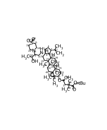 C=C(C)[C@@H]1CC[C@]2(NCC(C(C)O)N3CCS(=O)(=O)CC3)CC[C@]3(C)[C@H](CC[C@@H]4[C@@]5(C)CC[C@H](OC(=O)CC(C)(C)C(=O)OC(C)(C)C)C(C)(C)[C@@H]5CC[C@]43C)[C@@H]12